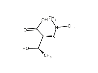 C[C@@H](O)[C@H](SN(C)C)C(=O)O